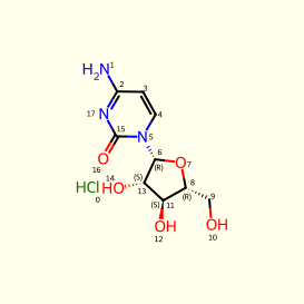 Cl.Nc1ccn([C@@H]2O[C@H](CO)[C@@H](O)[C@@H]2O)c(=O)n1